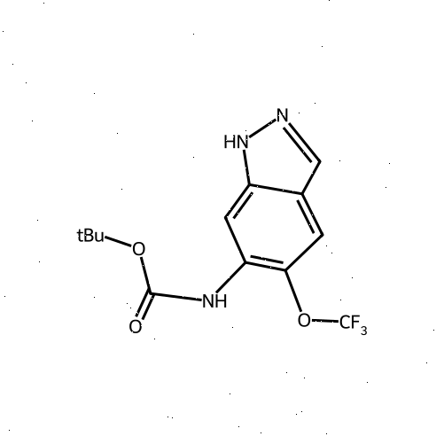 CC(C)(C)OC(=O)Nc1cc2[nH]ncc2cc1OC(F)(F)F